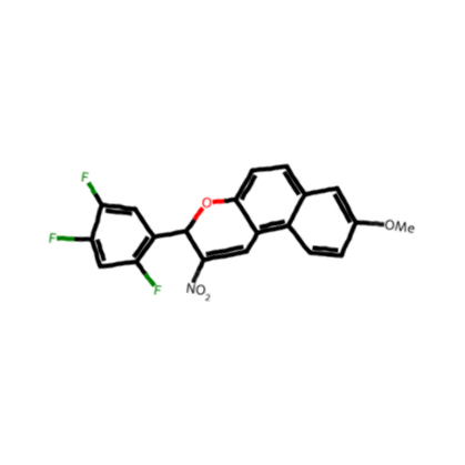 COc1ccc2c3c(ccc2c1)OC(c1cc(F)c(F)cc1F)C([N+](=O)[O-])=C3